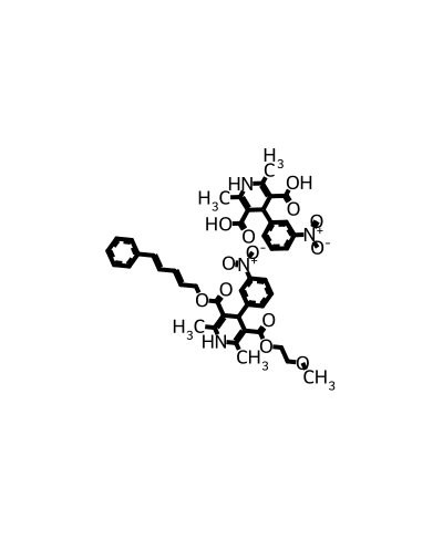 CC1=C(C(=O)O)C(c2cccc([N+](=O)[O-])c2)C(C(=O)O)=C(C)N1.COCCOC(=O)C1=C(C)NC(C)=C(C(=O)OCC=CC=Cc2ccccc2)C1c1cccc([N+](=O)[O-])c1